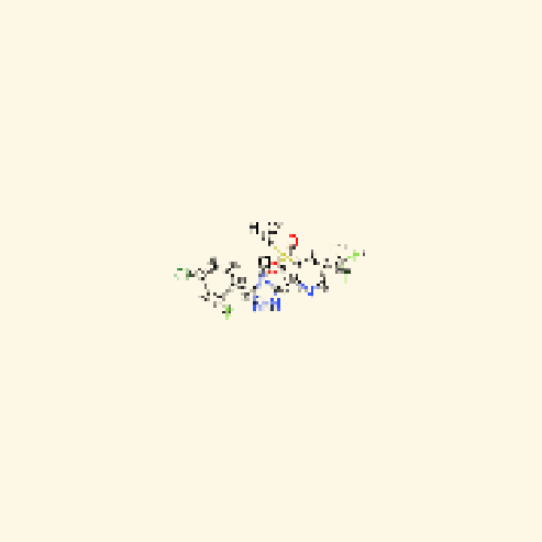 CCS(=O)(=O)c1cc(C(F)(F)F)cnc1-c1nnc(-c2ccc(Cl)cc2F)n1C